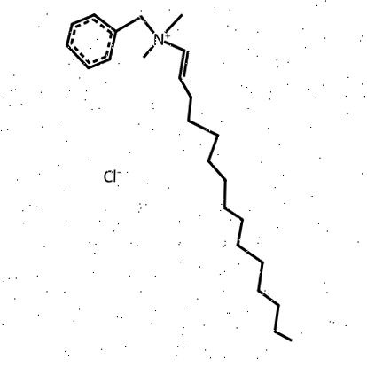 CCCCCCCCCCCCCC=C[N+](C)(C)Cc1ccccc1.[Cl-]